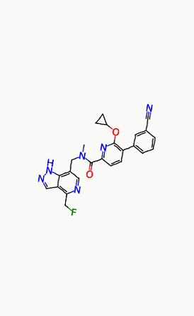 CN(Cc1cnc(CF)c2cn[nH]c12)C(=O)c1ccc(-c2cccc(C#N)c2)c(OC2CC2)n1